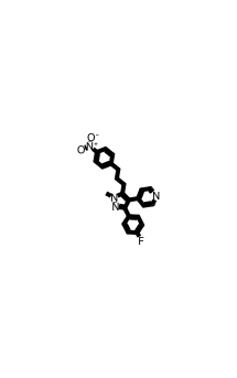 Cn1nc(-c2ccc(F)cc2)c(-c2ccncc2)c1CCCc1ccc([N+](=O)[O-])cc1